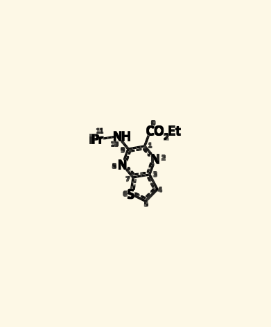 CCOC(=O)c1nc2ccsc2nc1NC(C)C